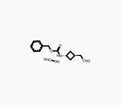 O=CC[C@H]1C[C@H](NC(=O)OCc2ccccc2)C1.O=CO